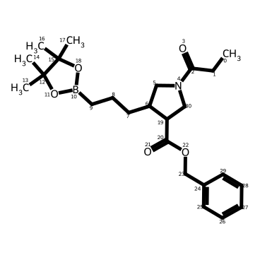 CCC(=O)N1CC(CCCB2OC(C)(C)C(C)(C)O2)C(C(=O)OCc2ccccc2)C1